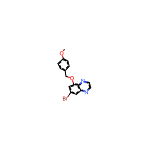 COc1ccc(COc2cc(Br)cc3nccnc23)cc1